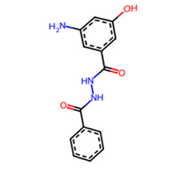 Nc1cc(O)cc(C(=O)NNC(=O)c2ccccc2)c1